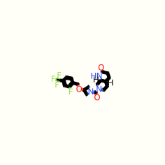 O=C1CC[C@H]2CCN(C(=O)N3CC(OCc4ccc(C(F)(F)F)cc4F)C3)C[C@H]2N1